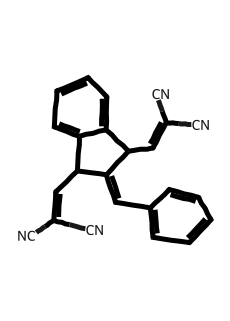 N#CC(C#N)=CC1C(=Cc2ccccc2)C(C=C(C#N)C#N)c2ccccc21